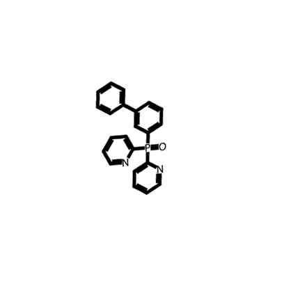 O=P(c1cccc(-c2ccccc2)c1)(c1ccccn1)c1ccccn1